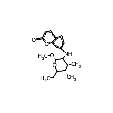 CCC1O[C@H](OC)C(Nc2ccc3ccc(=O)oc3c2)[C@@H](C)[C@@H]1C